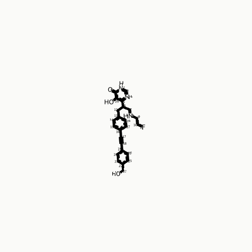 O=c1[nH]cnc(C(CNCCF)Cc2ccc(C#Cc3ccc(CO)cc3)cc2)c1O